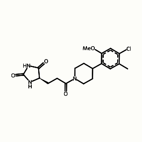 COc1cc(Cl)c(C)cc1C1CCN(C(=O)CC[C@H]2NC(=O)NC2=O)CC1